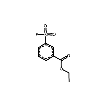 CCOC(=O)c1cccc(S(=O)(=O)F)c1